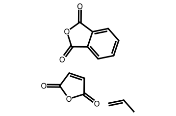 C=CC.O=C1C=CC(=O)O1.O=C1OC(=O)c2ccccc21